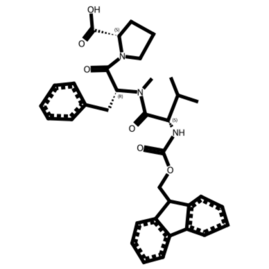 CC(C)[C@H](NC(=O)OCC1c2ccccc2-c2ccccc21)C(=O)N(C)[C@H](Cc1ccccc1)C(=O)N1CCC[C@H]1C(=O)O